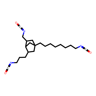 O=C=NCCCCCCCCC12CC(CCCN=C=O)C(C1)C(CN=C=O)C2